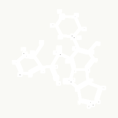 Cc1cc2c([nH]c3cnccc32)c(NC(=O)c2cccnc2C)c1N1CCOCC1